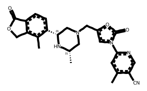 Cc1cc(-n2cc(CN3C[C@@H](c4ccc5c(c4C)COC5=O)N[C@@H](C)C3)oc2=O)ncc1C#N